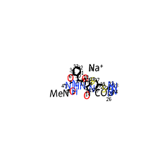 CNC(=O)N(C)C(=O)NC(C(=O)NC1C(=O)N2C(C(=O)[O-])=C(CSc3nnnn3C)CS[C@@H]12)c1ccccc1.[Na+]